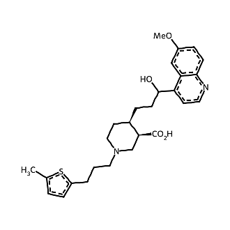 COc1ccc2nccc(C(O)CC[C@@H]3CCN(CCCc4ccc(C)s4)C[C@@H]3C(=O)O)c2c1